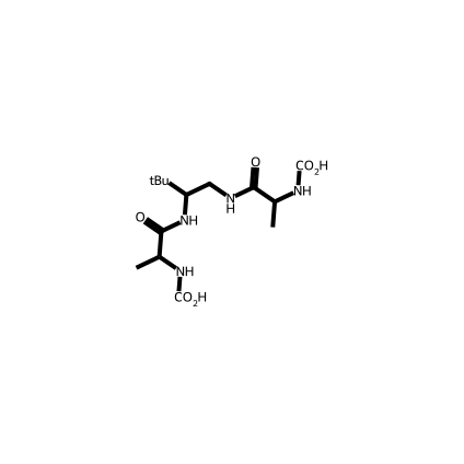 CC(NC(=O)O)C(=O)NCC(NC(=O)C(C)NC(=O)O)C(C)(C)C